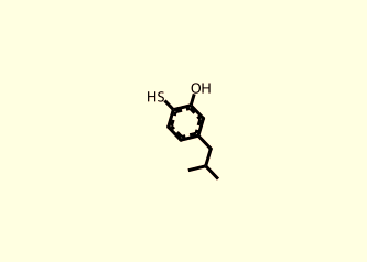 CC(C)Cc1ccc(S)c(O)c1